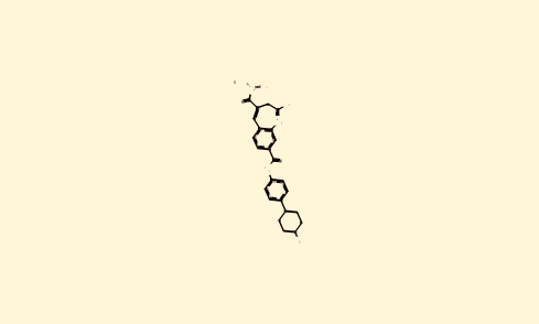 CCCN(CCC)C(=O)C1=Cc2ccc(C(=O)Nc3ccc(C4CCC(C(C)=O)CC4)cc3)cc2N=C(N)C1